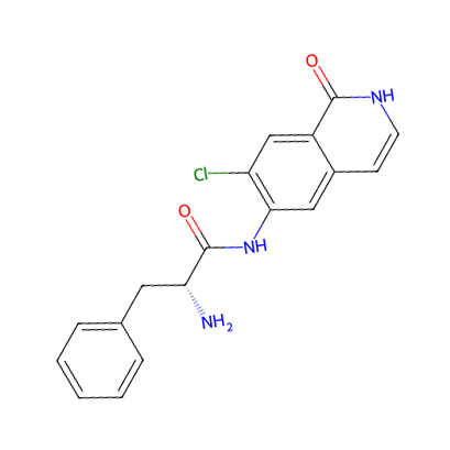 N[C@H](Cc1ccccc1)C(=O)Nc1cc2cc[nH]c(=O)c2cc1Cl